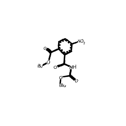 CCC(C)OC(=O)c1ccc([N+](=O)[O-])cc1C(=O)NC(=O)OC(C)(C)C